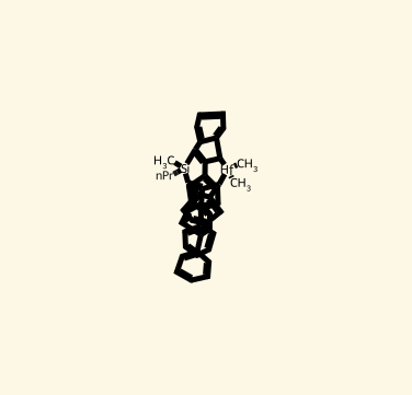 CCC[Si]1(C)C2=C(c3ccc(-c4ccccc4)cc3)[CH](c3ccccc32)[Hf]([CH3])([CH3])[CH]2C(c3ccc(-c4ccccc4)cc3)=C1c1ccccc12